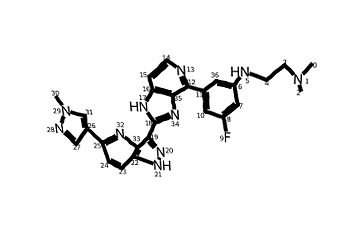 CN(C)CCNc1cc(F)cc(-c2nccc3[nH]c(-c4n[nH]c5ccc(-c6cnn(C)c6)nc45)nc23)c1